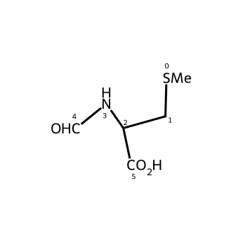 CSCC(NC=O)C(=O)O